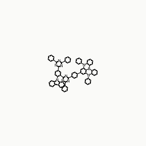 c1ccc(-c2nc(-c3ccccc3)nc(-c3ccc(-n4c5ccccc5c5ccccc54)c(-c4nc(-c5ccccc5)nc(-c5ccc(-c6cc7c8c(c6)N(c6ccccc6)c6ccccc6B8c6ccccc6N7c6ccccc6)cc5)n4)c3)n2)cc1